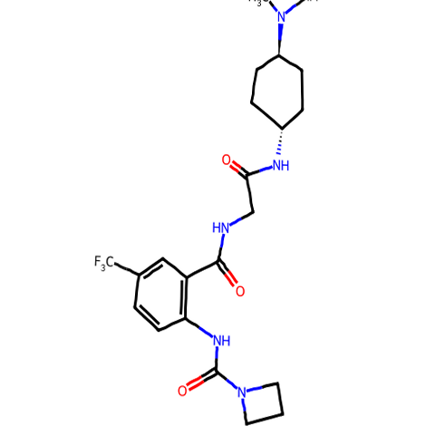 CC(C)N(C)[C@H]1CC[C@H](NC(=O)CNC(=O)c2cc(C(F)(F)F)ccc2NC(=O)N2CCC2)CC1